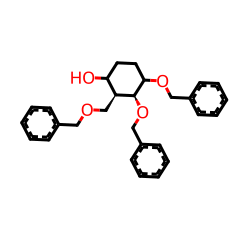 OC1CCC(OCc2ccccc2)[C@@H](OCc2ccccc2)[C@H]1COCc1ccccc1